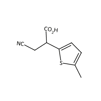 Cc1ccc(C(CC#N)C(=O)O)s1